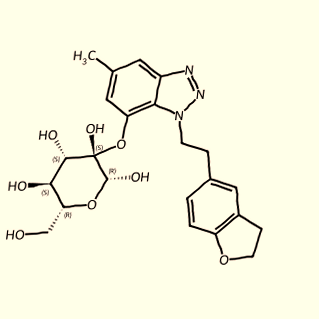 Cc1cc(O[C@]2(O)[C@H](O)O[C@H](CO)[C@@H](O)[C@@H]2O)c2c(c1)nnn2CCc1ccc2c(c1)CCO2